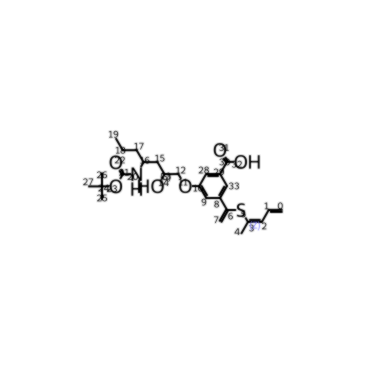 C=C/C=C(/C)SC(=C)c1cc(OC[C@@H](O)CC(CCC)NC(=O)OC(C)(C)C)cc(C(=O)O)c1